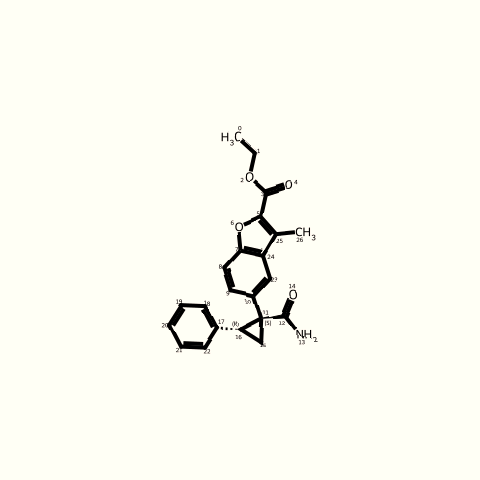 CCOC(=O)c1oc2ccc([C@]3(C(N)=O)C[C@@H]3c3ccccc3)cc2c1C